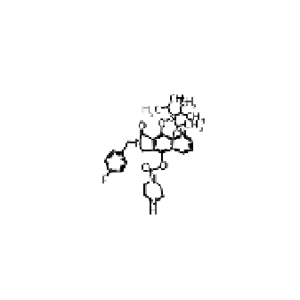 CC(C)[Si](Oc1c2c(c(OC(=O)N3CCNCC3)c3cccnc13)CN(Cc1ccc(F)cc1)C2=O)(C(C)C)C(C)C